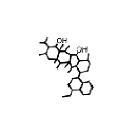 CCC1CCC(C2CCC(C)C3C(O)C4C(C)C5(C)C(O)C(C(C)C)C(C)CC5(C)C(C)C4(C)C(C)C23)C2CCCCC12